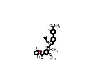 COc1cc(C(=O)N2C[C@H]3CC[C@@H]2[C@@H]3N)cc2nc(-c3cc4ccc(-c5ccc(C(N)=O)c(F)c5)cc4n3CC3CC3)n(C)c12